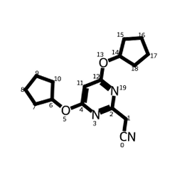 N#CCc1nc(OC2CCCC2)cc(OC2CCCC2)n1